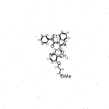 [CH2]CN(C(=O)n1c([S+]([O-])Cc2nccc(OCCCOC)c2C)nc2ccccc21)c1ccccc1